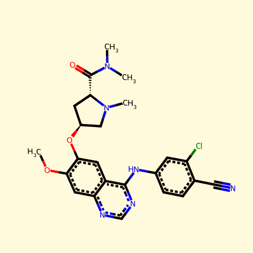 COc1cc2ncnc(Nc3ccc(C#N)c(Cl)c3)c2cc1O[C@H]1C[C@H](C(=O)N(C)C)N(C)C1